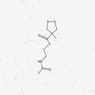 CC(=O)NCCSC(=O)C1(C)CSSC1